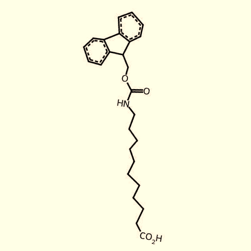 O=C(O)CCCCCCCCCCNC(=O)OCC1c2ccccc2-c2ccccc21